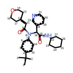 CC(C)(C)c1ccc(N(C(=O)C=C2CCOCC2)C(C(=O)NC2CCCCC2)c2cccnc2)cc1